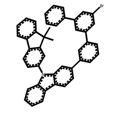 CC1(C)c2ccccc2-c2ccc(-n3c4ccccc4c4ccc(-c5cccc(-c6cc(Br)cc(-c7ccccc7)c6)c5)cc43)cc21